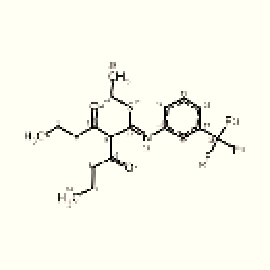 CCCC(=O)C(C(=O)CCC)C(=Nc1cccc(C(F)(F)F)c1)SCC